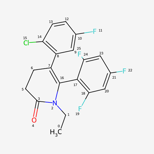 CCN1C(=O)CCC(c2cc(F)ccc2Cl)=C1c1c(F)cc(F)cc1F